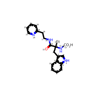 CCC(Cc1c[nH]c2ccccc12)(NC(=O)O)C(=O)NCCc1ccccn1